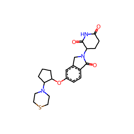 O=C1CCC(N2Cc3cc(OC4CCCC4N4CCSCC4)ccc3C2=O)C(=O)N1